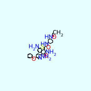 C=CC(=O)NC1CCCC(NC(=O)c2sc3c(N)ccc4c3c2C(N)C(=O)C4(N)c2ccc(Oc3ccccc3)cn2)C1